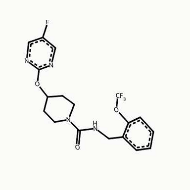 O=C(NCc1ccccc1OC(F)(F)F)N1CCC(Oc2ncc(F)cn2)CC1